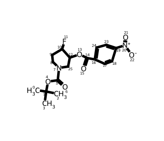 CC(C)(C)OC(=O)N1CCC(F)C(OC(=O)c2ccc([N+](=O)[O-])cc2)C1